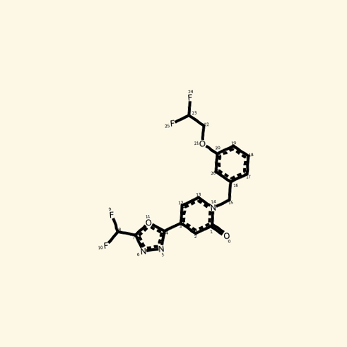 O=c1cc(-c2nnc(C(F)F)o2)ccn1Cc1cccc(OCC(F)F)c1